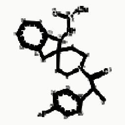 CC(C(=O)N1CCC2(CC1)Cc1ccccc1[C@H]2N[S@+]([O-])C(C)(C)C)c1ccc(F)cc1